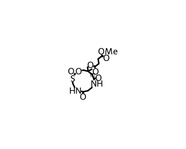 COC(=O)CCC(=O)O[C@H]1C(=O)NCCC(=O)NCCSC(=O)OCC1(C)C